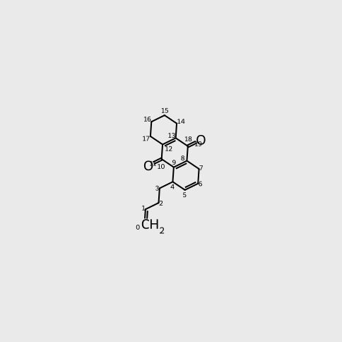 C=CCCC1C=CCC2=C1C(=O)C1=C(CCCC1)C2=O